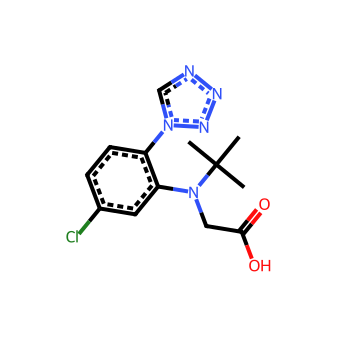 CC(C)(C)N(CC(=O)O)c1cc(Cl)ccc1-n1cnnn1